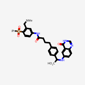 CNCc1cc(NC(=O)CCCc2ccc(C(Nc3ccc4nc[nH]c(=O)c4c3)C(=O)O)cc2)ccc1S(=O)(=O)C(C)C